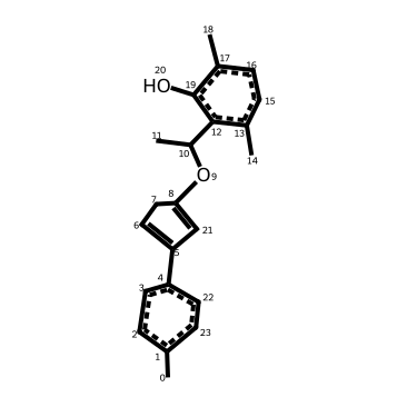 Cc1ccc(C2=CCC(OC(C)c3c(C)ccc(C)c3O)=C2)cc1